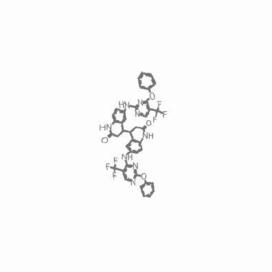 O=C1CC(C2CC(=O)Nc3ccc(Nc4nc(Oc5ccccc5)ncc4C(F)(F)F)cc32)c2cc(Nc3ncc(C(F)(F)F)c(Oc4ccccc4)n3)ccc2N1